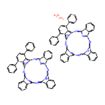 O.O.c1ccc(-c2ccc(-c3ccccc3)c3c4nc5nc(nc6[nH]c(nc7nc(nc([nH]4)c23)-c2ccccc2-7)c2ccccc62)-c2ccccc2-5)cc1.c1ccc(-c2ccc(-c3ccccc3)c3c4nc5nc(nc6[nH]c(nc7nc(nc([nH]4)c23)-c2ccccc2-7)c2ccccc62)-c2ccccc2-5)cc1